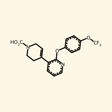 O=C(O)N1CC=C(c2cccnc2Oc2ccc(OC(F)(F)F)cc2)CC1